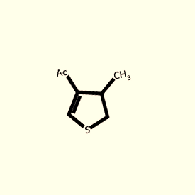 CC(=O)C1=CSCC1C